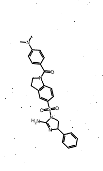 CN(C)c1ccc(C(=O)N2CCc3cc(S(=O)(=O)N4CC(c5ccccc5)N=C4N)ccc32)cc1